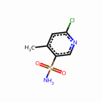 Cc1cc(Cl)ncc1S(N)(=O)=O